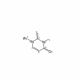 C=C1N(C)C(=O)C=CN1C(C)C